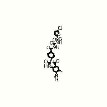 CNc1cc2[nH]c(=O)n(-c3ccc(C(=O)NC(=O)NS(=O)(=O)c4ccc(Cl)s4)cc3)c(=O)c2cc1F